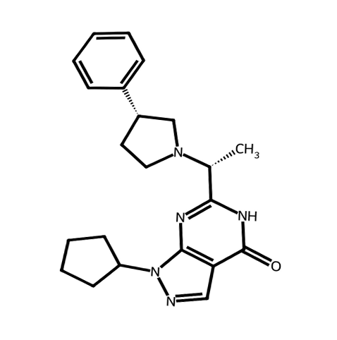 C[C@H](c1nc2c(cnn2C2CCCC2)c(=O)[nH]1)N1CC[C@H](c2ccccc2)C1